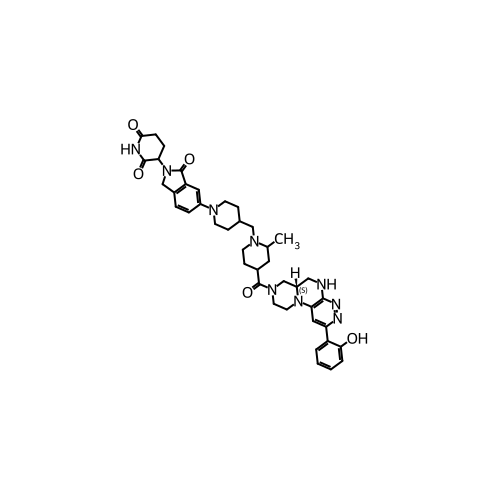 CC1CC(C(=O)N2CCN3c4cc(-c5ccccc5O)nnc4NC[C@H]3C2)CCN1CC1CCN(c2ccc3c(c2)C(=O)N(C2CCC(=O)NC2=O)C3)CC1